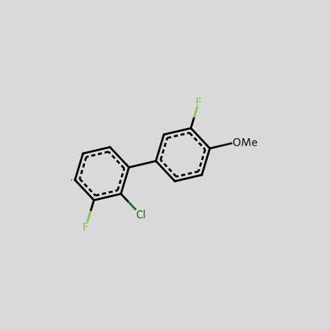 COc1ccc(-c2cc[c]c(F)c2Cl)cc1F